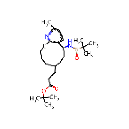 Cc1ccc2c(n1)CCCCC(CCC(=O)OC(C)(C)C)CC[C@@H]2N[S@+]([O-])C(C)(C)C